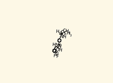 CC(C)(C)OC(=O)NC[C@H]1CC[C@H](C(=O)NC(Cc2cccc(OC(F)F)c2)C(=O)O)CC1